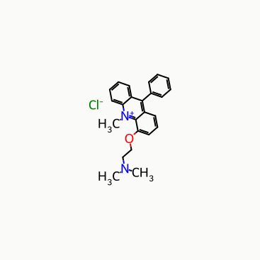 CN(C)CCOc1cccc2c(-c3ccccc3)c3ccccc3[n+](C)c12.[Cl-]